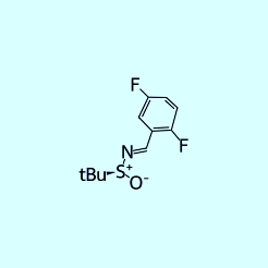 CC(C)(C)[S@+]([O-])/N=C/c1cc(F)ccc1F